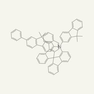 CC1(C)c2ccccc2-c2ccc(N(c3ccc4c(c3)C(C)(C)c3cc(-c5ccccc5)ccc3-4)c3cccc4c3C3(c5ccccc5-4)c4ccccc4-c4c3ccc3ccccc43)cc21